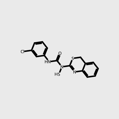 O=C(Nc1cccc(Cl)c1)N(S)C1=Nc2ccccc2CS1